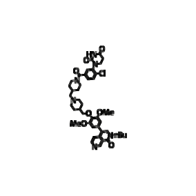 CCCCn1cc(-c2cc(OC)c(OCC3CCN(CC4CCN(C(=O)c5ccc(Cl)c(N6CCC(=O)NC6=O)c5)CC4)CC3)c(OC)c2)c2ccncc2c1=O